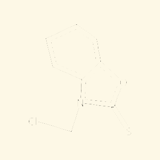 S=c1oc2ccccc2n1CCl